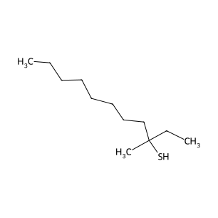 CCCCCCCCC(C)(S)CC